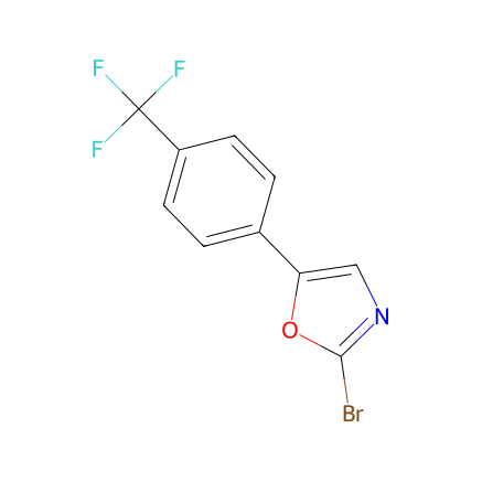 FC(F)(F)c1ccc(-c2cnc(Br)o2)cc1